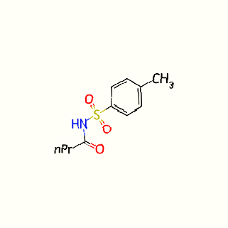 CCCC(=O)NS(=O)(=O)c1ccc(C)cc1